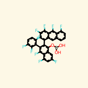 OB(O)Oc1c(-c2c(F)c(F)c(F)c3c(F)c4c(F)cccc4cc23)c(-c2c(F)ccc(F)c2F)c(F)c2c(F)cc(F)cc12